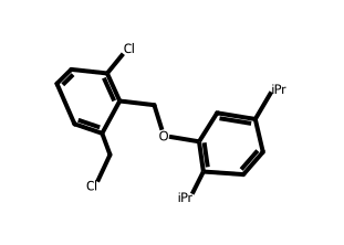 CC(C)c1ccc(C(C)C)c(OCc2c(Cl)cccc2CCl)c1